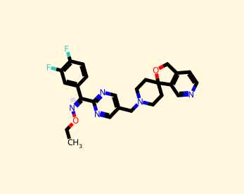 CCO/N=C(/c1ccc(F)c(F)c1)c1ncc(CN2CCC3(CC2)OCc2ccncc23)cn1